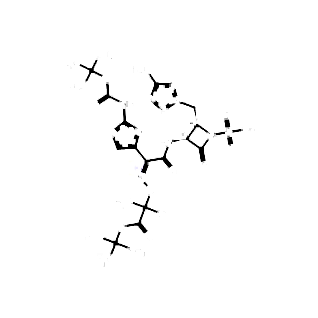 Cc1nnn(C[C@@H]2[C@H](NC(=O)/C(=N\OC(C)(C)C(=O)OC(C)(C)C)c3csc(NC(=O)OC(C)(C)C)n3)C(=O)N2S(=O)(=O)O)n1